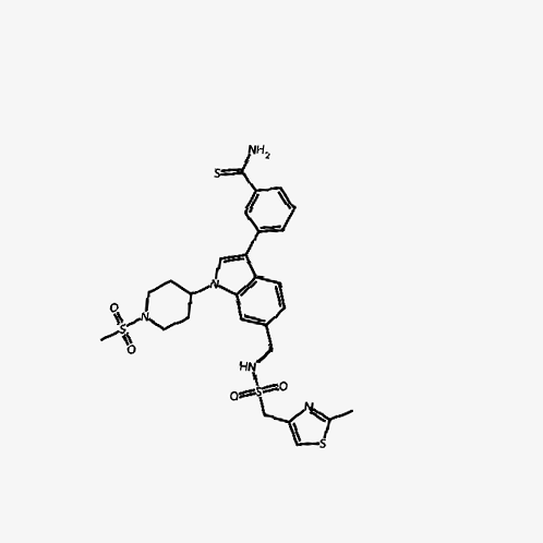 Cc1nc(CS(=O)(=O)NCc2ccc3c(-c4cccc(C(N)=S)c4)cn(C4CCN(S(C)(=O)=O)CC4)c3c2)cs1